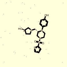 O=S(=O)(c1cccs1)N1CCN(c2ccc(O)cc2)[C@@H](CN2CC[C@@H](O)C2)C1